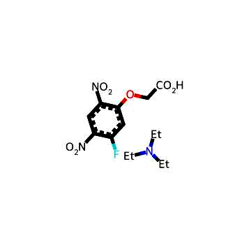 CCN(CC)CC.O=C(O)COc1cc(F)c([N+](=O)[O-])cc1[N+](=O)[O-]